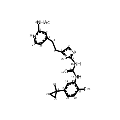 CC(=O)Nc1cc(CCc2cnc(NC(=O)Nc3cc(C4(C)CC4)ccc3F)s2)ccn1